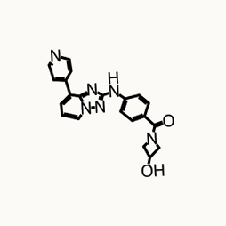 O=C(c1ccc(Nc2nc3c(-c4ccncc4)cccn3n2)cc1)N1CC(O)C1